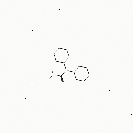 CN(C)C(=O)N(C1CCCCC1)C1CCCCC1